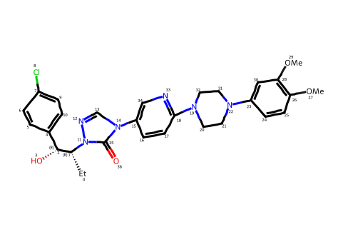 CC[C@H]([C@H](O)c1ccc(Cl)cc1)n1ncn(-c2ccc(N3CCN(c4ccc(OC)c(OC)c4)CC3)nc2)c1=O